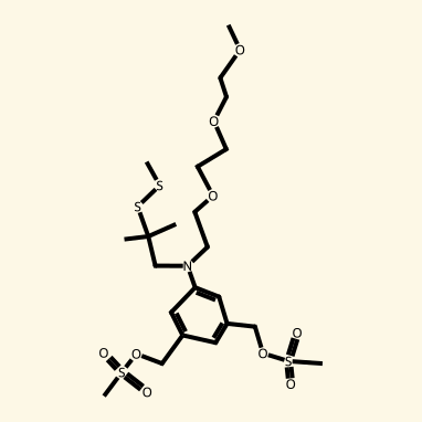 COCCOCCOCCN(CC(C)(C)SSC)c1cc(COS(C)(=O)=O)cc(COS(C)(=O)=O)c1